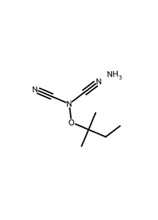 CCC(C)(C)ON(C#N)C#N.N